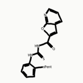 CCCCCc1ccccc1NC(=S)NC(=O)c1cc2cccnc2o1